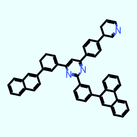 C1=CN=CC(c2ccc(-c3cc(C4=CCCC(c5ccc6ccccc6c5)=C4)nc(-c4cccc(-c5cc6ccccc6c6ccccc56)c4)n3)cc2)C1